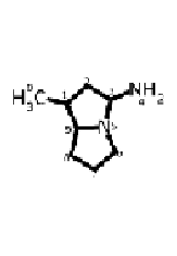 CC1CC(N)N2CCCC12